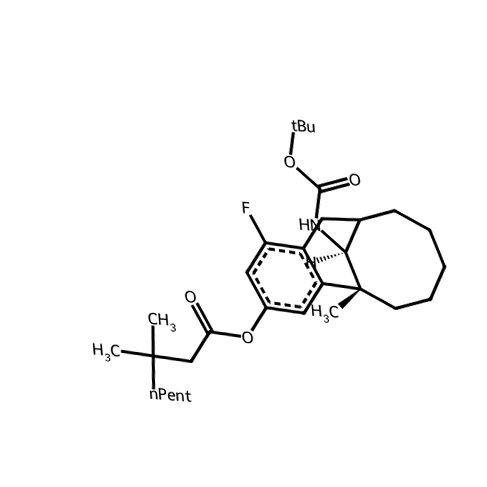 CCCCCC(C)(C)CC(=O)Oc1cc(F)c2c(c1)[C@@]1(C)CCCCCC(C2)[C@@H]1NC(=O)OC(C)(C)C